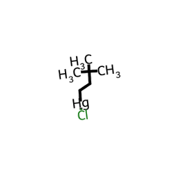 CC(C)(C)C[CH2][Hg][Cl]